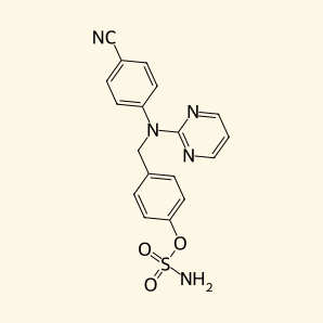 N#Cc1ccc(N(Cc2ccc(OS(N)(=O)=O)cc2)c2ncccn2)cc1